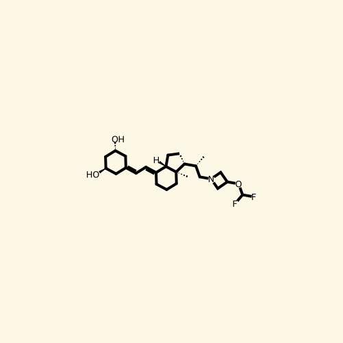 C[C@H](CN1CC(OC(F)F)C1)[C@H]1CC[C@H]2/C(=C/C=C3C[C@@H](O)C[C@H](O)C3)CCC[C@]12C